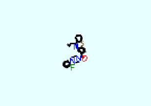 CCCC1=Nc2cc(C(=O)N3CCN(c4ccccc4F)CC3)ccc2Sc2ccccc21